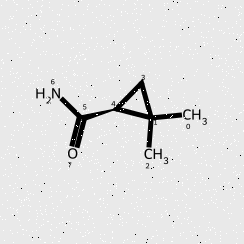 CC1(C)C[C@@H]1C(N)=O